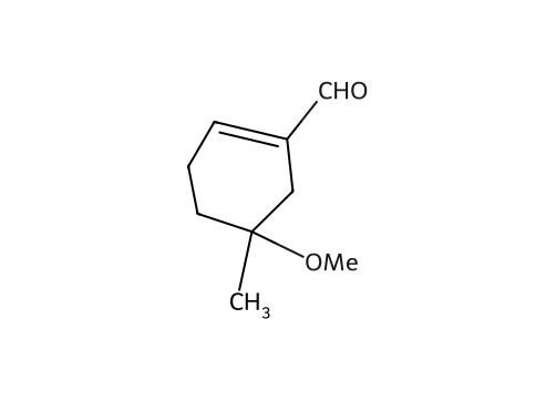 COC1(C)CCC=C(C=O)C1